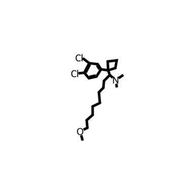 COCCCCCCCCC(N(C)C)C1(c2ccc(Cl)c(Cl)c2)CCC1